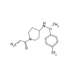 C=CC(=O)N1CCC(N[C@H](C)c2ccc(C(F)(F)F)cc2)CC1